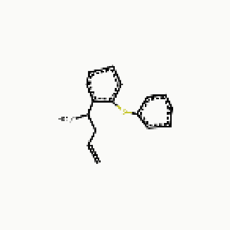 C=CCC(C(=O)O)c1ccccc1Sc1ccccc1